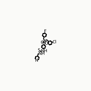 O=S(=O)(c1ccc(NC(=S)NCc2ccncc2)cc1)N(Cc1ccc(F)cc1)Cc1cccc(Cl)c1